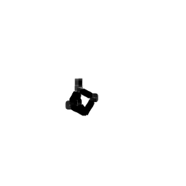 O1C2O[SiH]1O2